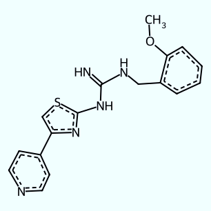 COc1ccccc1CNC(=N)Nc1nc(-c2ccncc2)cs1